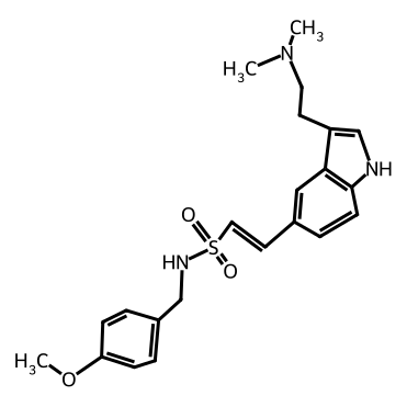 COc1ccc(CNS(=O)(=O)C=Cc2ccc3[nH]cc(CCN(C)C)c3c2)cc1